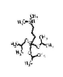 CC(C)O[Si](CCC[SiH](C)C)(OC(C)C)OC(C)C